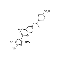 COc1nc(N)c(Cl)cc1C(=O)N[C@@H]1CCN(CC(=O)N2CCC(C(=O)O)CC2)C[C@@H]1OC